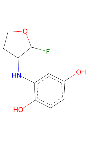 Oc1ccc(O)c(NC2CCO[C]2F)c1